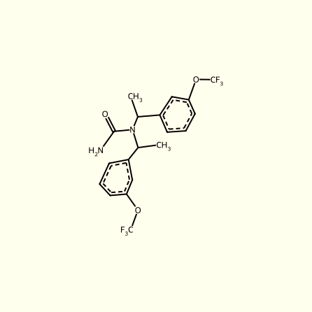 CC(c1cccc(OC(F)(F)F)c1)N(C(N)=O)C(C)c1cccc(OC(F)(F)F)c1